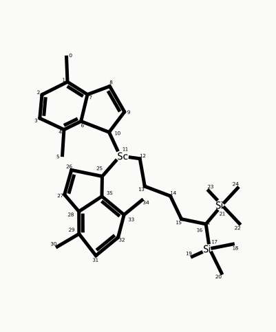 Cc1ccc(C)c2c1C=C[CH]2[Sc]([CH2]CCC[C]([Si](C)(C)C)[Si](C)(C)C)[CH]1C=Cc2c(C)ccc(C)c21